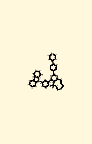 CC1(C)/C=C/C=C\C=C\c2nc(-c3ccc(-c4ccncc4)cc3)nc(-c3cccc(-n4c5ccccc5c5ccccc54)c3)c21